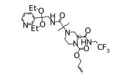 C=CCOC(=O)N1CCN(C(C)(C)C(=O)NCC(OCC)(OCC)c2cccnc2)C[C@H]1C(=O)NCC(F)(F)F